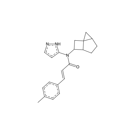 Cc1ccc(/C=C/C(=O)N(c2ccn[nH]2)C2CC34CC3CCC24)cc1